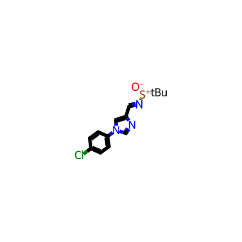 CC(C)(C)[S+]([O-])N=Cc1cn(-c2ccc(Cl)cc2)cn1